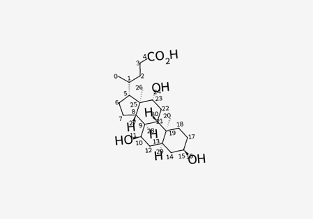 CC(CCC(=O)O)[C@H]1CC[C@H]2[C@@H]3[C@H](O)C[C@@H]4C[C@H](O)CC[C@]4(C)[C@H]3C[C@@H](O)[C@]12C